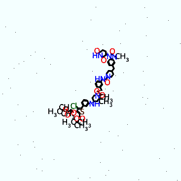 Cn1c(=O)n(C2CCC(=O)NC2=O)c2ccc(CC3CCN(C(=O)Nc4cccc(CS(=O)(=O)N5CC[C@H](Nc6cccc(-c7sc(C(=O)OC(C)(C)C)c(OCC(=O)OC(C)(C)C)c7Cl)c6)CC5(C)C)c4)CC3)cc21